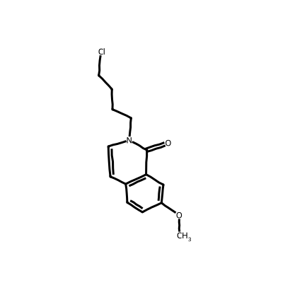 COc1ccc2ccn(CCCCCl)c(=O)c2c1